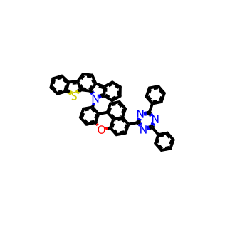 c1ccc(-c2nc(-c3ccccc3)nc(-c3ccc4c5c(cccc35)-c3c(cccc3-n3c5ccccc5c5ccc6c7ccccc7sc6c53)O4)n2)cc1